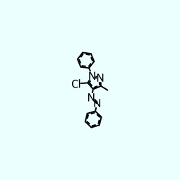 Cc1nn(-c2ccccc2)c(Cl)c1/N=N/c1ccccc1